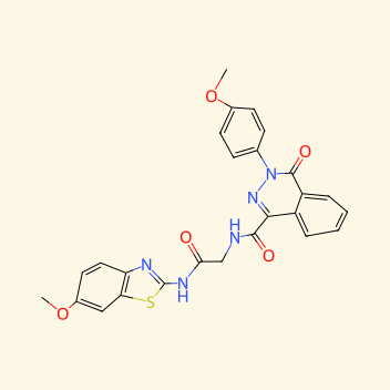 COc1ccc(-n2nc(C(=O)NCC(=O)Nc3nc4ccc(OC)cc4s3)c3ccccc3c2=O)cc1